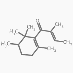 CC=C(C)C(=O)C1=C(C)CCC(C)C1(C)C